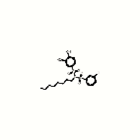 CCCCCCCCN(S(=O)(=O)c1cccc(Cl)c1)S(=O)(=O)c1ccc(O)c(O)c1